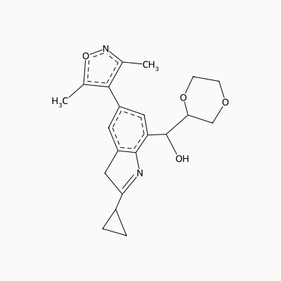 Cc1noc(C)c1-c1cc2c(c(C(O)C3COCCO3)c1)N=C(C1CC1)C2